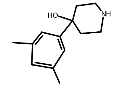 Cc1cc(C)cc(C2(O)CCNCC2)c1